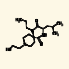 CCCN1C(=O)C(CC(C)C)NC(=O)C12CCN(CCO)CC2